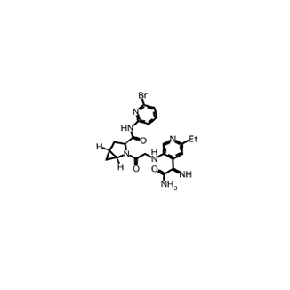 CCc1cc(C(=N)C(N)=O)c(NCC(=O)N2[C@@H]3C[C@@H]3C[C@H]2C(=O)Nc2cccc(Br)n2)cn1